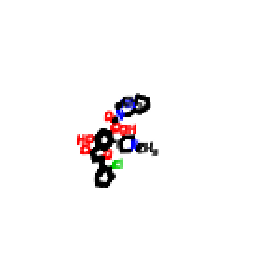 CCN(CC1CCCCN1)C(=O)Oc1cc(O)c2c(=O)cc(C3=CCCC=C3Cl)oc2c1[C@H]1CCN(C)CC1O